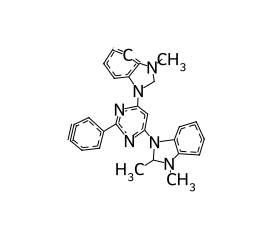 CC1N(C)c2ccccc2N1c1cc(N2CN(C)c3ccccc32)nc(-c2cc#ccc2)n1